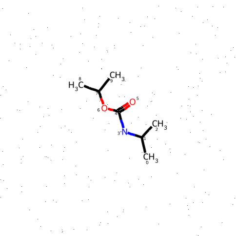 CC(C)[N]C(=O)OC(C)C